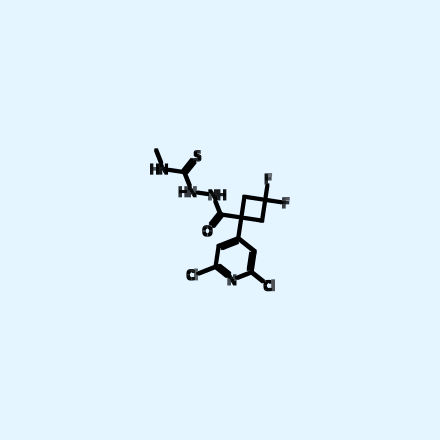 CNC(=S)NNC(=O)C1(c2cc(Cl)nc(Cl)c2)CC(F)(F)C1